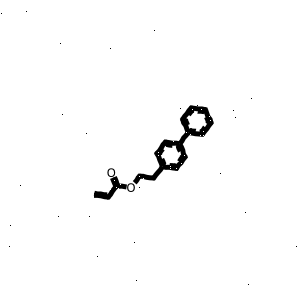 C=CC(=O)OCCc1ccc(-c2ccccc2)cc1